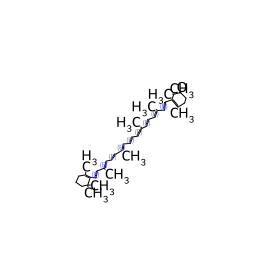 CC1=C(/C=C/C(C)=C/C=C/C(C)=C/C=C/C=C(C)/C=C/C=C(C)/C=C/C2=C(C)CCC(=O)C2(C)C)C(C)(C)CCC1